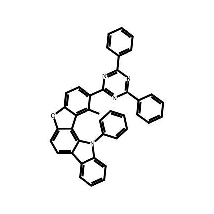 Cc1c(-c2nc(-c3ccccc3)nc(-c3ccccc3)n2)ccc2oc3ccc4c5ccccc5n(-c5ccccc5)c4c3c12